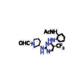 CC(=O)Nc1ccccc1Nc1nc(N[C@H]2CCCN(C=O)C2)ncc1C(F)(F)F